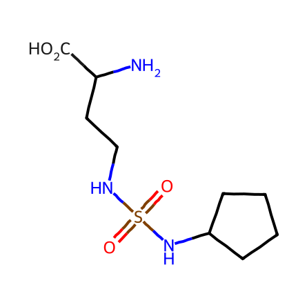 NC(CCNS(=O)(=O)NC1CCCC1)C(=O)O